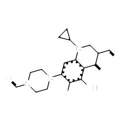 Cc1c(F)c(N2CCN(C=O)CC2)cc2c1C(=O)C(C=O)CN2C1CC1